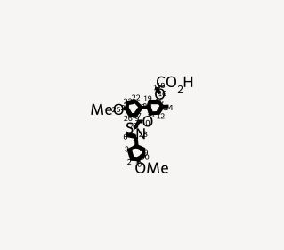 COc1ccc(-c2csc(COc3cc(C)c(OCC(=O)O)cc3-c3ccc(OC)cc3)n2)cc1